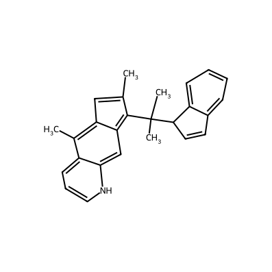 Cc1cc2c(C)c3ccc[nH]c3cc2c1C(C)(C)C1C=Cc2ccccc21